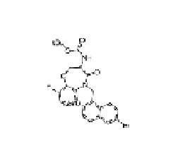 COc1ccc2cc(Br)ccc2c1CN1C(=O)C(NC(=O)OC(C)(C)C)COc2c(F)cccc21